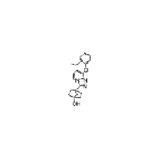 CCc1ccccc1Oc1cccn2c(C34CCC(O)(CC3)C4)nnc12